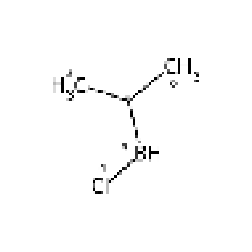 CC(C)BCl